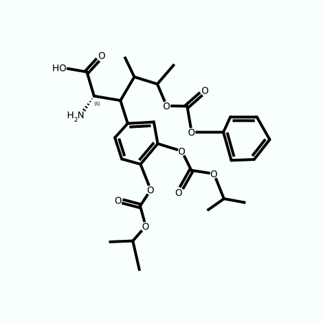 CC(C)OC(=O)Oc1ccc(C(C(C)C(C)OC(=O)Oc2ccccc2)[C@H](N)C(=O)O)cc1OC(=O)OC(C)C